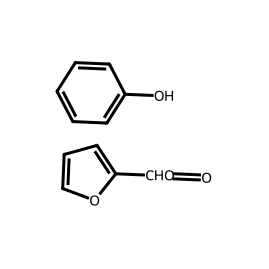 C=O.O=Cc1ccco1.Oc1ccccc1